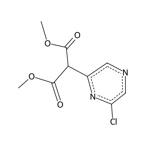 COC(=O)C(C(=O)OC)c1cncc(Cl)n1